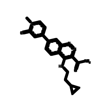 Cn1ccc(-c2ccc3c(NCCC4CC4)c(C(N)=O)nnc3c2)cc1=O